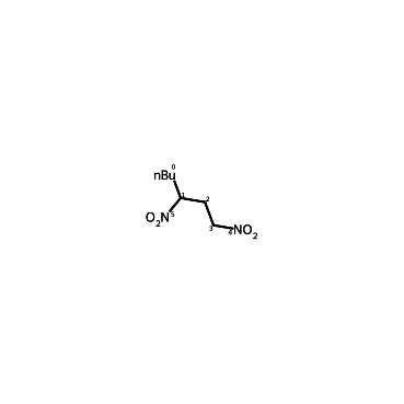 CCCCC(CC[N+](=O)[O-])[N+](=O)[O-]